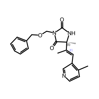 C/C(=C\c1cnccc1C)[C@]1(C)NC(=O)N(COCc2ccccc2)C1=O